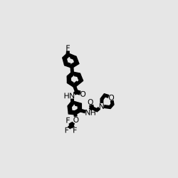 O=C(CN1CCOCC1)Nc1cc(NC(=O)c2ccc(-c3ccc(F)cc3)cc2)ccc1OC(F)(F)F